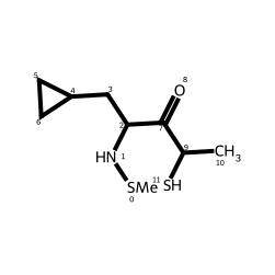 CSNC(CC1CC1)C(=O)C(C)S